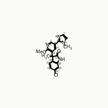 COc1ncc(-c2nccn2C)cc1C1(C)C(=O)Nc2cc(Cl)ccc21